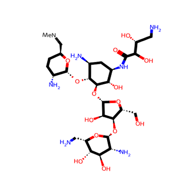 CNC[C@@H]1CC[C@@H](N)[C@@H](O[C@H]2[C@H](O[C@@H]3O[C@H](CO)[C@@H](O[C@H]4O[C@@H](CN)[C@@H](O)[C@H](O)[C@H]4N)[C@H]3O)[C@@H](O)[C@H](NC(=O)C(O)[C@H](O)CN)C[C@@H]2N)O1